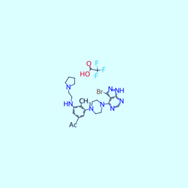 CC(=O)c1cc(NCCN2CCCC2)c(C)c(N2CCN(c3ncnc4[nH]nc(Br)c34)CC2)c1.O=C(O)C(F)(F)F